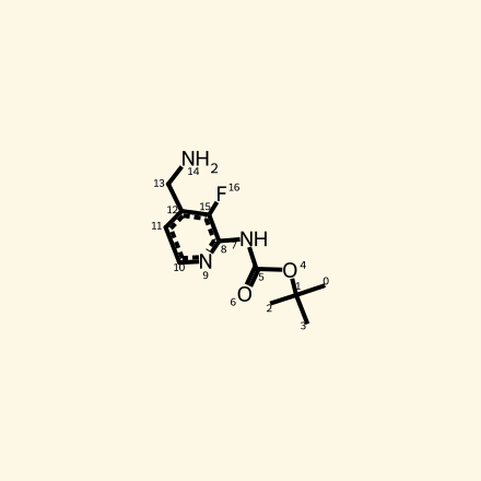 CC(C)(C)OC(=O)Nc1nccc(CN)c1F